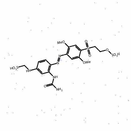 COc1cc(S(=O)(=O)CCOS(=O)(=O)O)c(OC)cc1/N=N/c1ccc(NCS(=O)(=O)O)cc1NC(N)=O